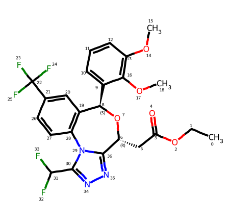 CCOC(=O)C[C@H]1O[C@H](c2cccc(OC)c2OC)c2cc(C(F)(F)F)ccc2-n2c(C(F)F)nnc21